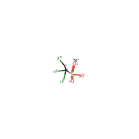 O=S(=O)([O-])C(F)(F)CF.[K+]